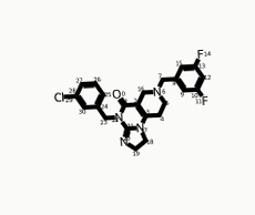 O=C1C2=C(CCN(Cc3cc(F)cc(F)c3)C2)N2CCN=C2N1Cc1cccc(Cl)c1